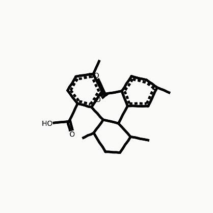 Cc1ccc(C(=O)O)c(C2C(C)CCC(C)C2c2cc(C)ccc2C(=O)O)c1